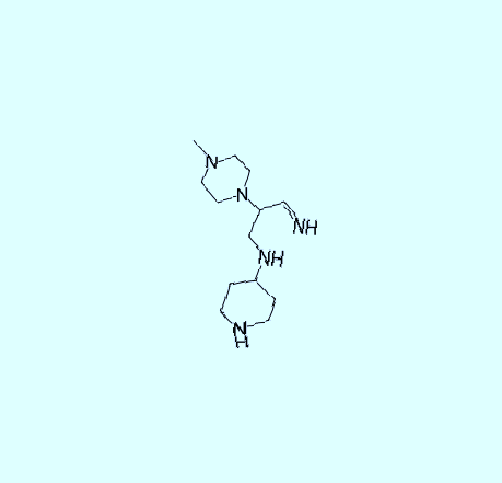 CN1CCN(C(C=N)CNC2CCNCC2)CC1